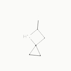 ClC1CC2(CC2)N1